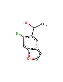 CC(O)c1cc2ccoc2cc1Br